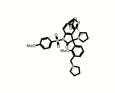 COc1ccc(S(=O)(=O)N2C(=O)C(c3cccc(CN4CCCC4)c3OC)(N3CCC[C@H]3c3ncco3)c3cc(Cl)ccc32)cc1